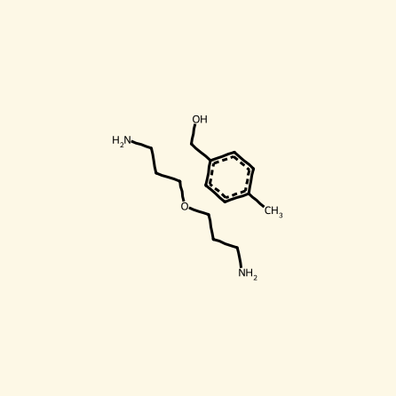 Cc1ccc(CO)cc1.NCCCOCCCN